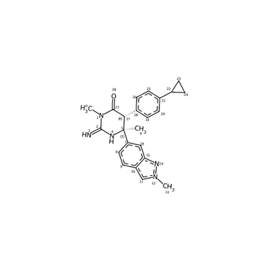 CN1C(=N)N[C@](C)(c2ccc3cn(C)nc3c2)[C@@H](c2ccc(C3CC3)cc2)C1=O